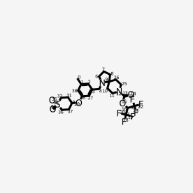 Cc1cc(CN2CCCC23CCN(C(=O)OC(C(F)(F)F)C(F)(F)F)CC3)cc(OC2CCS(=O)(=O)CC2)c1